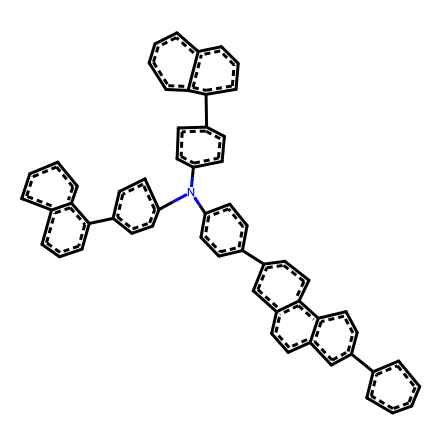 c1ccc(-c2ccc3c(ccc4cc(-c5ccc(N(c6ccc(-c7cccc8ccccc78)cc6)c6ccc(-c7cccc8ccccc78)cc6)cc5)ccc43)c2)cc1